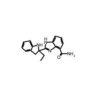 CCC1(c2nc3c(C(N)=O)cccc3[nH]2)Cc2ccccc2N1